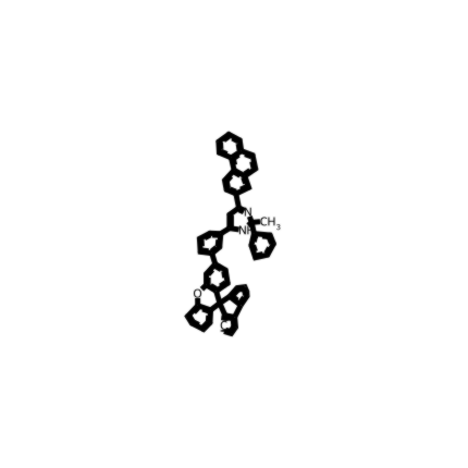 CC1(c2ccccc2)N=C(c2ccc3c(ccc4ccccc43)c2)C=C(c2cccc(-c3ccc4c(c3)Oc3ccccc3C43c4ccccc4-c4ccccc43)c2)N1